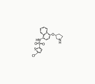 O=S(=O)(Nc1ccc(OC2CCNC2)c2ccccc12)c1ccc(Cl)s1